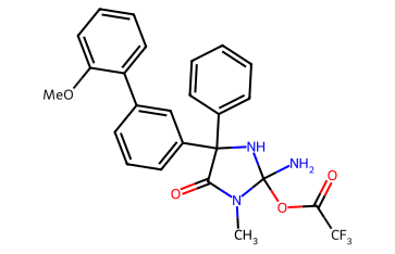 COc1ccccc1-c1cccc(C2(c3ccccc3)NC(N)(OC(=O)C(F)(F)F)N(C)C2=O)c1